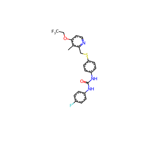 Cc1c(OCC(F)(F)F)ccnc1CSc1ccc(NC(=O)Nc2ccc(F)cc2)cc1